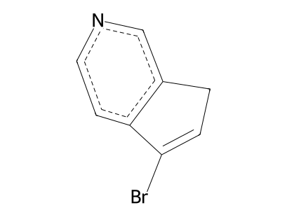 BrC1=CCc2cnccc21